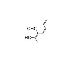 C=C/C=C\C(C=O)=C(/C)O